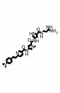 CN(C)c1ccc(/C=C/c2ccc(C(=O)Nc3cc(C(=O)Nc4c[nH]c(C(=O)NCCC(=N)N)c4)n(C)c3)cn2)cc1